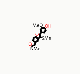 CNC(=O)Cc1ccc2oc(-c3ccc(O)c(OC)c3)c(SC)c2c1